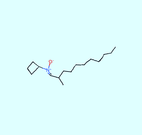 CCCCCCCCCC(C)C=[N+]([O-])C1CCC1